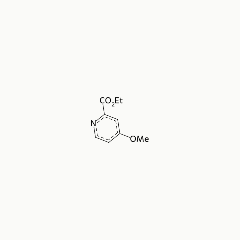 CCOC(=O)c1cc(OC)ccn1